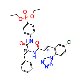 CCOP(=O)(OCC)c1ccc(NC(=O)[C@H](Cc2ccccc2)NC(=O)/C=C/c2cc(Cl)ccc2-n2cnnn2)cc1